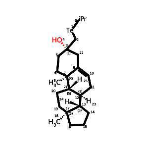 CC(C)[Te]C[C@]1(O)CC[C@@]2(C)C(=CC[C@H]3[C@@H]4CCC[C@@]4(C)CC[C@@H]32)C1